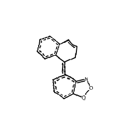 C1=Cc2ccccc2C(=c2cccc3c2=NOO3)C1